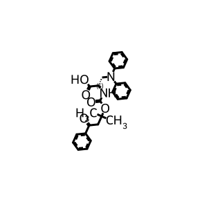 CC(C)(CC(=O)c1ccccc1)OC(=O)N[C@@H](CN(c1ccccc1)c1ccccc1)C(=O)O